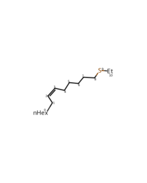 CCCCCCC/C=C\CCCCCSCC